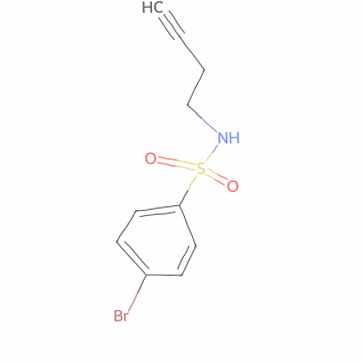 C#CCCNS(=O)(=O)c1ccc(Br)cc1